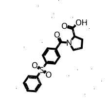 O=C(O)C1CCCN1C(=O)c1ccc(S(=O)(=O)c2ccccc2)cc1